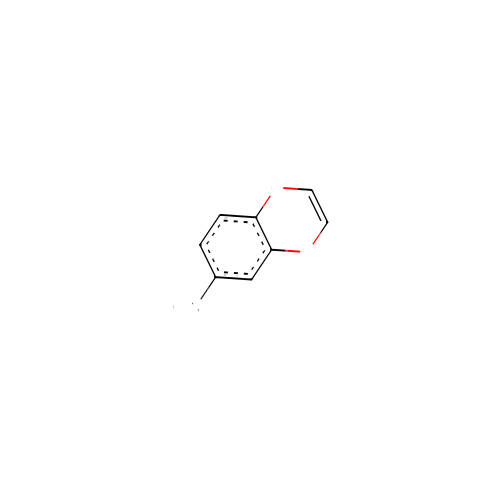 O=[N+]([O-])c1ccc2c(c1)OC=[C]O2